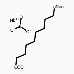 CCCCCCCCCCCCCCCCCC(=O)[O-].[Nb+4].[O-]B([O-])[O-]